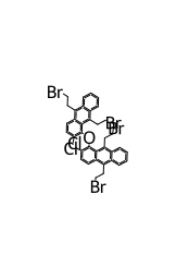 Clc1ccc2c(CCBr)c3ccccc3c(CCBr)c2c1Oc1c(Cl)ccc2c(CCBr)c3ccccc3c(CCBr)c12